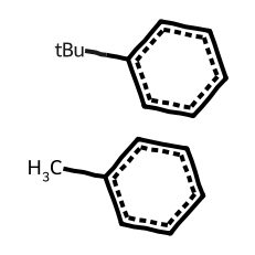 CC(C)(C)c1ccccc1.Cc1ccccc1